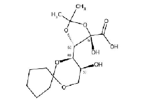 CC1(C)O[C@@H]([C@@H]2OC3(CCCCC3)OC[C@@H]2O)[C@@](O)(C(=O)O)O1